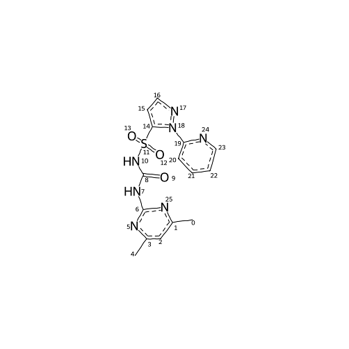 Cc1cc(C)nc(NC(=O)NS(=O)(=O)c2ccnn2-c2ccccn2)n1